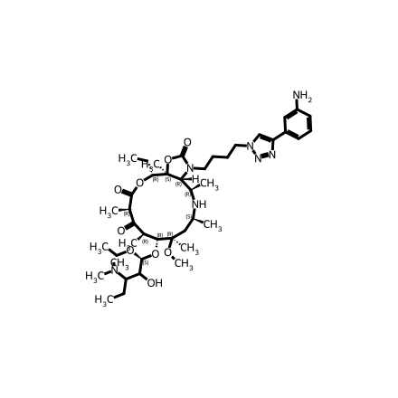 CCO[C@@H](O[C@@H]1[C@@H](C)C(=O)[C@@H](C)C(=O)O[C@H](CC)[C@@]2(C)OC(=O)N(CCCCn3cc(-c4cccc(N)c4)nn3)[C@@H]2[C@@H](C)N[C@@H](C)C[C@@]1(C)OC)C(O)C(CC)N(C)C